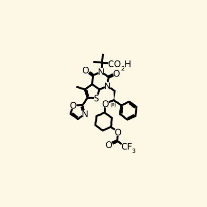 CC1=C(c2ncco2)SC2C1C(=O)N(C(C)(C)C(=O)O)C(=O)N2C[C@H](OC1CCCC(OC(=O)C(F)(F)F)C1)c1ccccc1